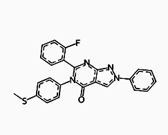 CSc1ccc(-n2c(-c3ccccc3F)nc3nn(-c4ccccc4)cc3c2=O)cc1